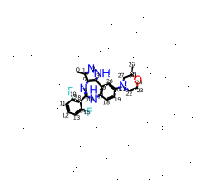 Cc1n[nH]c2c1N=C(c1c(F)cccc1F)Nc1ccc(N3CCO[C@H](C)C3)cc1-2